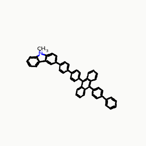 Cn1c2ccccc2c2cc(-c3ccc(-c4ccc(-c5c6ccccc6c(-c6ccc(-c7ccccc7)cc6)c6ccccc56)cc4)cc3)ccc21